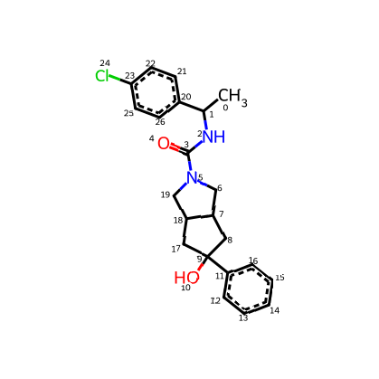 CC(NC(=O)N1CC2CC(O)(c3ccccc3)CC2C1)c1ccc(Cl)cc1